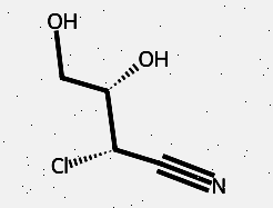 N#C[C@H](Cl)[C@@H](O)CO